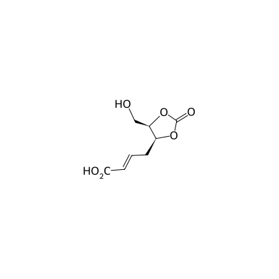 O=C(O)C=CC[C@@H]1OC(=O)O[C@@H]1CO